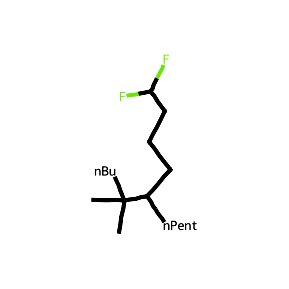 CCCCCC(CCCC(F)F)C(C)(C)CCCC